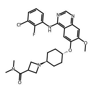 COc1cc2ncnc(Nc3cccc(Cl)c3F)c2cc1O[C@H]1CC[C@H](N2CC(C(=O)N(C)C)C2)CC1